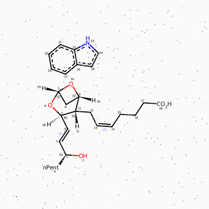 CCCCC[C@H](O)/C=C/[C@H]1O[C@H]2C[C@H](O2)[C@@H]1C/C=C\CCCC(=O)O.c1ccc2[nH]ccc2c1